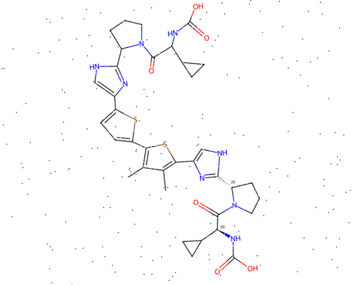 Cc1c(-c2c[nH]c([C@@H]3CCCN3C(=O)[C@@H](NC(=O)O)C3CC3)n2)sc(-c2ccc(-c3c[nH]c(C4CCCN4C(=O)C(NC(=O)O)C4CC4)n3)s2)c1C